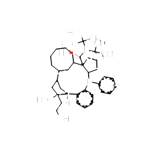 CCCC1(C)CC2C[C@@H]1c1ccccc1P(c1ccccc1)C1CCCC1([C@@H](C)P(C(C)(C)C)C(C)(C)C)C1CCCCCC2C1